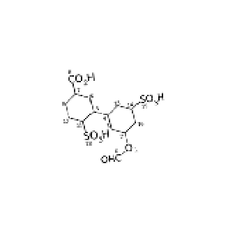 O=COC1CC(C2CC(C(=O)O)CCC2S(=O)(=O)O)CC(S(=O)(=O)O)C1